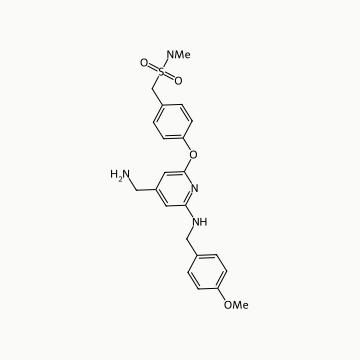 CNS(=O)(=O)Cc1ccc(Oc2cc(CN)cc(NCc3ccc(OC)cc3)n2)cc1